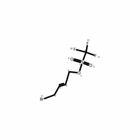 O=S(=O)(OCC=CCBr)C(F)(F)F